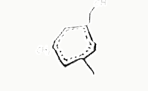 C.Cc1cccc(O)c1